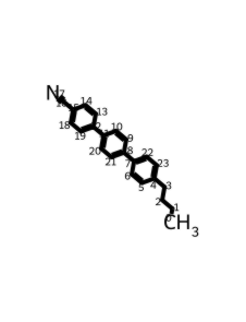 CCCCc1ccc(-c2ccc(-c3ccc(C#N)cc3)cc2)cc1